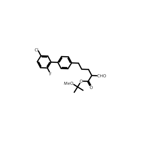 COC(C)(C)OC(=O)C(C=O)CCCc1ccc(-c2cc(Cl)ccc2F)cc1